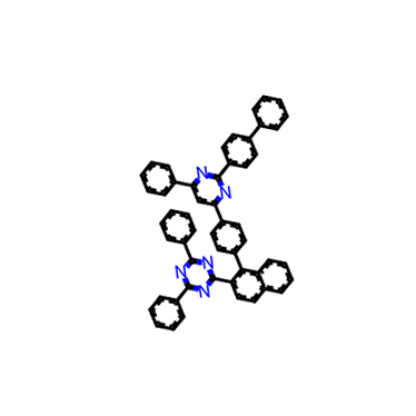 c1ccc(-c2ccc(-c3nc(-c4ccccc4)cc(-c4ccc(-c5c(-c6nc(-c7ccccc7)nc(-c7ccccc7)n6)ccc6ccccc56)cc4)n3)cc2)cc1